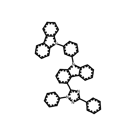 c1ccc(-c2nc(-c3cccc4c3c3ccccc3n4-c3cccc(-n4c5ccccc5c5ccccc54)c3)n(-c3ccccc3)n2)cc1